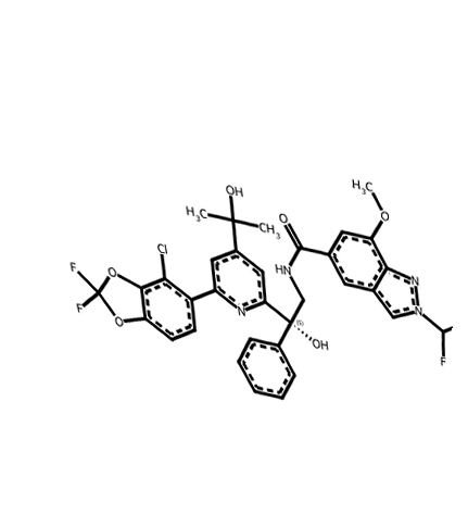 COc1cc(C(=O)NC[C@@](O)(c2ccccc2)c2cc(C(C)(C)O)cc(-c3ccc4c(c3Cl)OC(F)(F)O4)n2)cc2cn(C(F)F)nc12